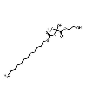 CCCCCCCCCCCCSC(=S)SC(C)(O)C(=O)OCCO